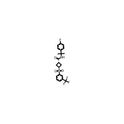 CC(C)(NC(=O)[C@H]1C[C@H](S(=O)(=O)c2cccc(C(F)(F)F)c2)C1)c1ccc(F)cc1